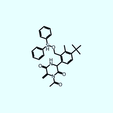 C=C1C(=O)NC(c2ccc(C(C)(C)C)c(C)c2CO[SiH](c2ccccc2)c2ccccc2)C(=O)N1C(C)=O